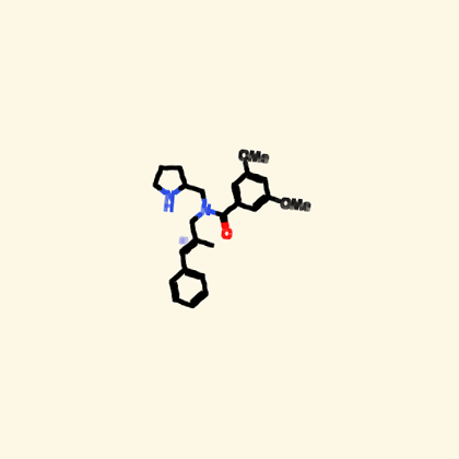 COc1cc(OC)cc(C(=O)N(C/C(C)=C/c2ccccc2)CC2CCCN2)c1